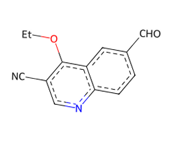 CCOc1c(C#N)cnc2ccc(C=O)cc12